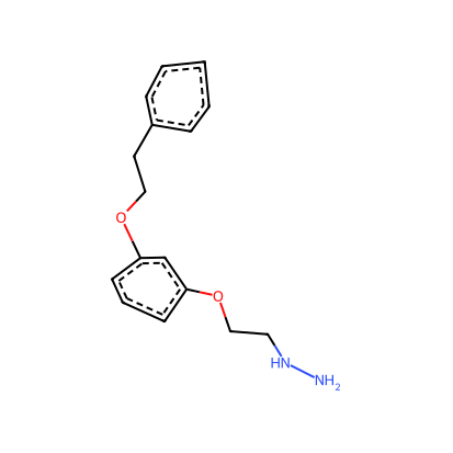 NNCCOc1cccc(OCCc2ccccc2)c1